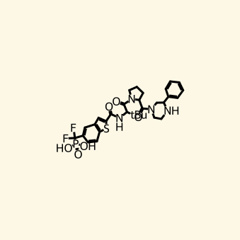 CC(C)(C)C(NC(=O)c1cc2cc(C(F)(F)P(=O)(O)O)ccc2s1)C(=O)N1CCCC1C(=O)N1CCNC(c2ccccc2)C1